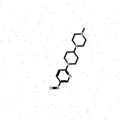 CN1CCN(C2CCN(c3ccc(N=O)cn3)CC2)CC1